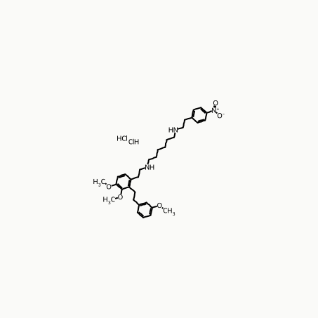 COc1cccc(CCc2c(CCNCCCCCCNCCc3ccc([N+](=O)[O-])cc3)ccc(OC)c2OC)c1.Cl.Cl